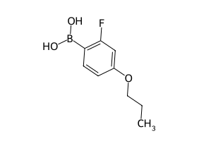 CCCOc1ccc(B(O)O)c(F)c1